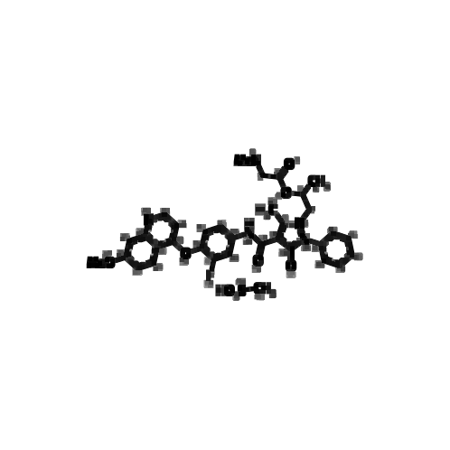 CNCC(=O)OC(C)Cn1c(C)c(C(=O)Nc2ccc(Oc3ccnc4cc(OC)ccc34)c(F)c2)c(=O)n1-c1ccccc1.CS(=O)(=O)O